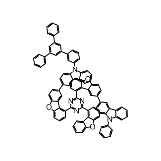 c1ccc(-c2cc(-c3ccccc3)cc(-c3cccc(-n4c5ccccc5c5cc(-c6ccc7oc8cccc(-c9nc(-c%10cccc%11oc%12ccccc%12c%10%11)nc(-c%10cccc%11oc%12ccc(-c%13ccc%14c(c%13)c%13ccccc%13n%14-c%13ccccc%13)cc%12c%10%11)n9)c8c7c6)ccc54)c3)c2)cc1